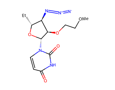 CC[C@H]1O[C@@H](n2ccc(=O)[nH]c2=O)[C@H](OCCOC)[C@@H]1N=[N+]=[N-]